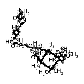 C=CC1=C(C)c2cc3[nH]c(cc4nc(cc5[nH]c(cc1n2)c(C)c5CCC(=O)O)C(CCC(=O)NNC(=O)OCCSSCC(NC(=O)c1ccc(NCc2cnc5nc(N)[nH]c(=O)c5n2)cc1)C(=O)O)=C4C)[C@@]1(C)C3=CC=C(C(=O)OC)[C@H]1C(=O)OC